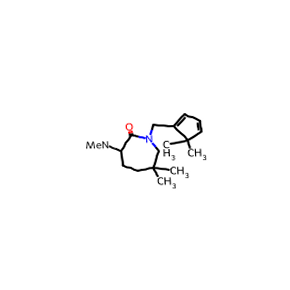 CNC1CCC(C)(C)CN(CC2=CC=CC2(C)C)C1=O